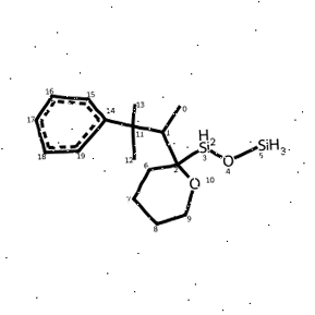 CC(C1([SiH2]O[SiH3])CCCCO1)C(C)(C)c1ccccc1